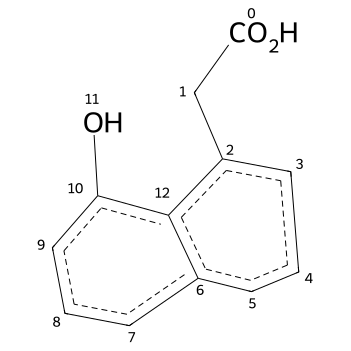 O=C(O)Cc1cccc2cccc(O)c12